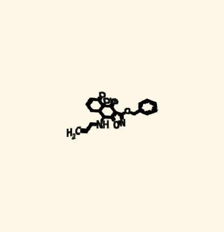 C=CCN[C@@H]1c2onc(OCc3ccccc3)c2C(=O)[C@@]2(O)C(=O)C=CCC12